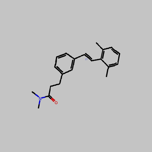 Cc1cccc(C)c1/C=C/c1cccc(CCC(=O)N(C)C)c1